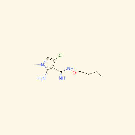 CCCCONC(=N)c1c(Cl)cn(C)c1N